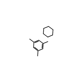 C1CCCCC1.Cc1cc(C)cc(C)c1